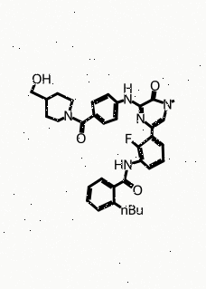 CCCCc1ccccc1C(=O)Nc1cccc(-c2cn(C)c(=O)c(Nc3ccc(C(=O)N4CCC(CO)CC4)cc3)n2)c1F